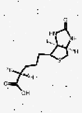 [3H]C([3H])(CCC[C@@H]1SC[C@@H]2NC(=O)N[C@@H]21)C(=O)O